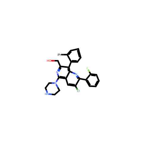 CC(C)c1ccccc1-c1c(CO)nc(N2CCNCC2)c2cc(Cl)c(-c3ccccc3F)nc12